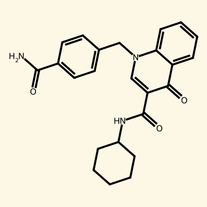 NC(=O)c1ccc(Cn2cc(C(=O)NC3CCCCC3)c(=O)c3ccccc32)cc1